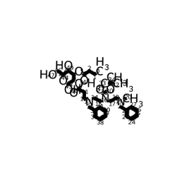 CCCC(=O)O[C@@H]1C(OC(=O)CCN(CCN(CCN(C)Cc2ccccc2)C(=O)OC(C)(C)C)Cc2ccccc2)C(O)OC(CO)[C@H]1O